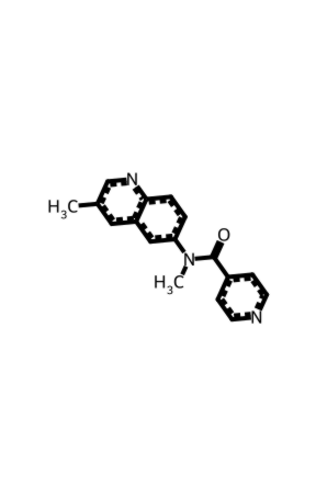 Cc1cnc2ccc(N(C)C(=O)c3ccncc3)cc2c1